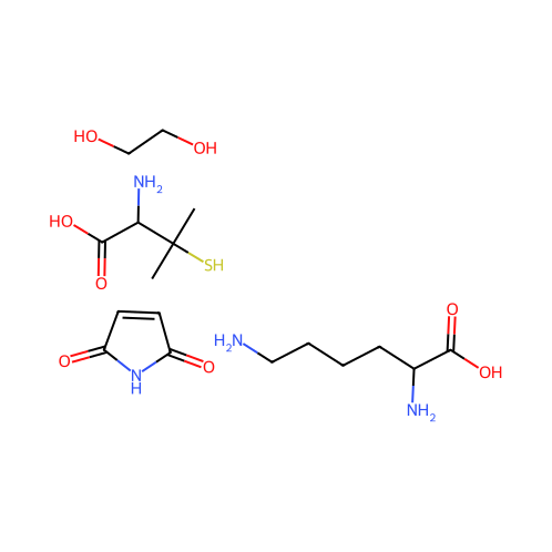 CC(C)(S)C(N)C(=O)O.NCCCCC(N)C(=O)O.O=C1C=CC(=O)N1.OCCO